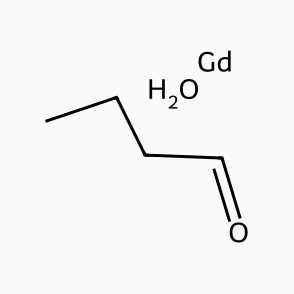 CCCC=O.O.[Gd]